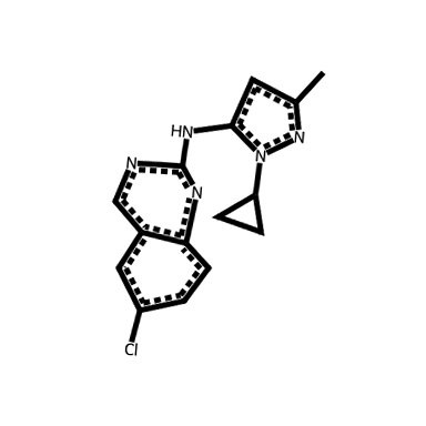 Cc1cc(Nc2ncc3cc(Cl)ccc3n2)n(C2CC2)n1